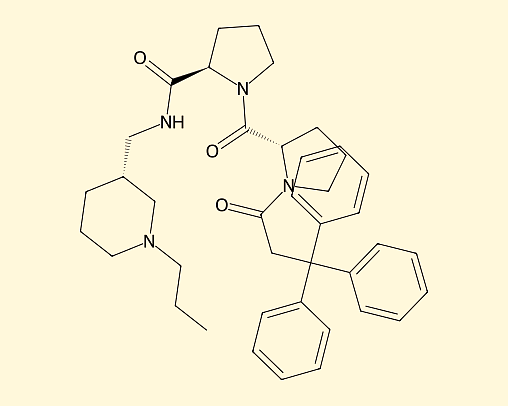 CCCN1CCC[C@H](CNC(=O)[C@H]2CCCN2C(=O)[C@@H]2CCCN2C(=O)CC(c2ccccc2)(c2ccccc2)c2ccccc2)C1